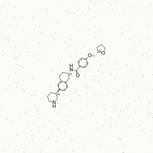 O=C(N[C@H]1CCc2cc([C@@H]3CCCNC3)ccc2C1)c1ccc(OC[C@@H]2CCCO2)cc1